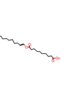 CCCCCCCCC=COC(=O)CCCCCCCCC(=O)O